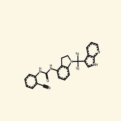 [2H]C([2H])(c1c[nH]c2ncccc12)N1CCc2c(NC(=O)Nc3ccccc3C#N)cccc21